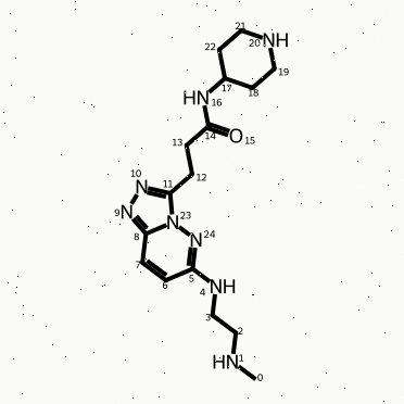 CNCCNc1ccc2nnc(CCC(=O)NC3CCNCC3)n2n1